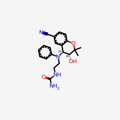 CC1(C)Oc2ccc(C#N)cc2[C@H](N(CCNC(N)=O)c2ccccc2)[C@H]1O